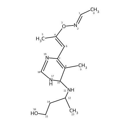 C/C=N/O/C(C)=C/C1=C(C)C(NC(C)CCO)NC=N1